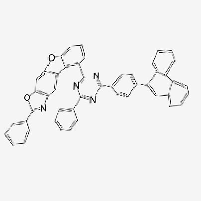 c1ccc(-c2nc(-c3ccc(-c4cc5ccccc5c5ccccc45)cc3)nc(-c3cccc4oc5cc6oc(-c7ccccc7)nc6cc5c34)n2)cc1